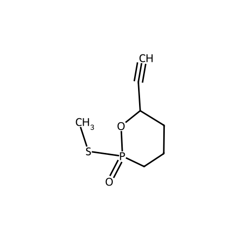 C#CC1CCCP(=O)(SC)O1